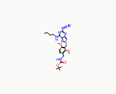 CCCCNc1nc(N=[N+]=[N-])nc2cn(Cc3c(OC)ccc(CNC(=O)OC(C)(C)C)c3OC)nc12